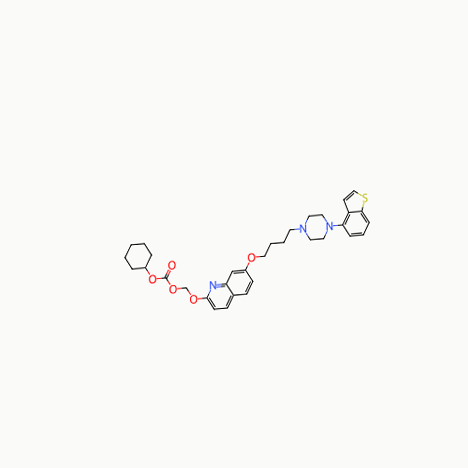 O=C(OCOc1ccc2ccc(OCCCCN3CCN(c4cccc5sccc45)CC3)cc2n1)OC1CCCCC1